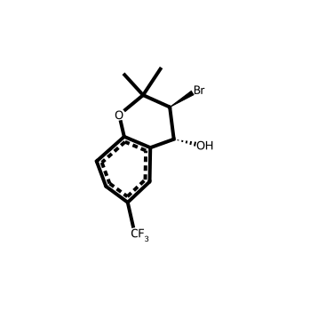 CC1(C)Oc2ccc(C(F)(F)F)cc2[C@@H](O)[C@@H]1Br